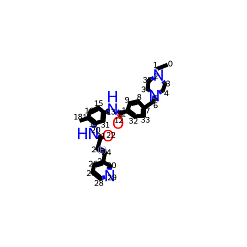 CCN1CCN(Cc2ccc(C(=O)Nc3ccc(C)c(NC(=O)/C=C/c4cccnc4)c3)cc2)CC1